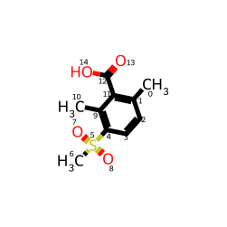 Cc1ccc(S(C)(=O)=O)c(C)c1C(=O)O